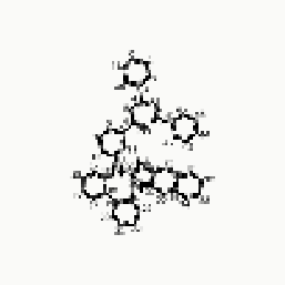 c1ccc(-c2cc(-c3cccc(N4c5ccccc5-c5ccccc5-n5c4nc4cc6ccccc6cc45)c3)nc(-c3ccccc3)n2)cc1